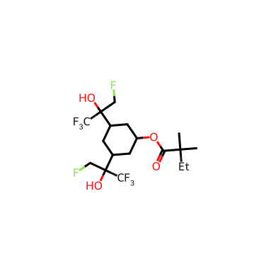 CCC(C)(C)C(=O)OC1CC(C(O)(CF)C(F)(F)F)CC(C(O)(CF)C(F)(F)F)C1